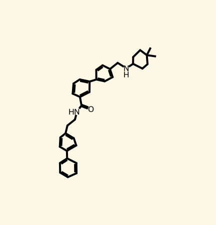 CC1(C)CCC(NCc2ccc(-c3cccc(C(=O)NCCc4ccc(-c5ccccc5)cc4)c3)cc2)CC1